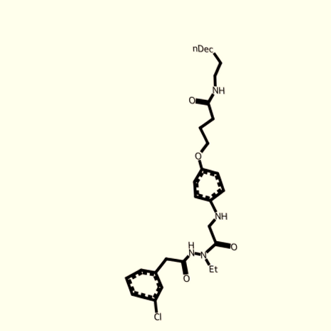 CCCCCCCCCCCCNC(=O)CCCOc1ccc(NCC(=O)N(CC)NC(=O)Cc2cccc(Cl)c2)cc1